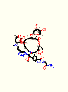 CC[C@H]1OC(=O)[C@H](C)[C@@H](O[C@H]2C[C@@](C)(OC)[C@@H](O)[C@H](C)O2)[C@H](C)[C@@H](O[C@@H]2O[C@H](C)C[C@H](N(C)CCc3cn([C@H](CF)[C@H](OC)c4ccc(C(=O)NCC(N)=O)cc4)nn3)[C@H]2O)[C@](C)(O)C[C@@H](C)CN(C)[C@H](C)[C@@H](O)[C@]1(C)O